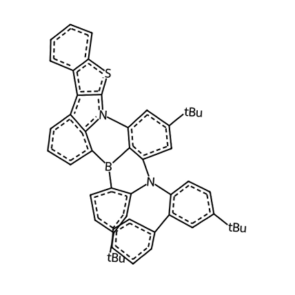 CC(C)(C)c1ccc(N2c3cc(C(C)(C)C)ccc3B3c4c2cc(C(C)(C)C)cc4-n2c4sc5ccccc5c4c4cccc3c42)c(-c2ccccc2)c1